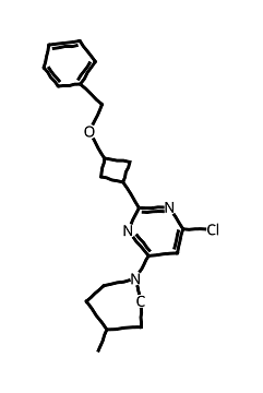 CC1CCN(c2cc(Cl)nc(C3CC(OCc4ccccc4)C3)n2)CC1